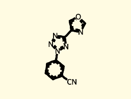 N#Cc1cccc(-n2nnc(-c3cocn3)n2)c1